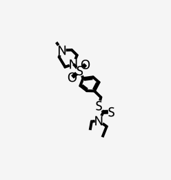 CCN(CC)C(=S)SCc1ccc(S(=O)(=O)N2CCN(C)CC2)cc1